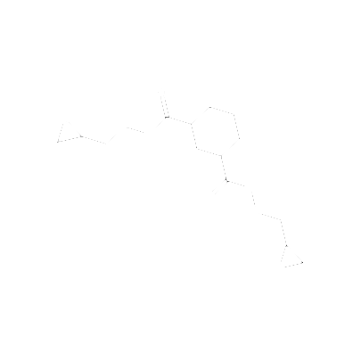 O=C(OSCC1CS1)C1CCCC(C(=O)OSCC2CS2)C1